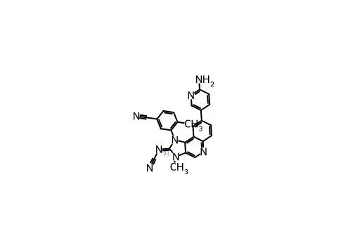 Cc1ccc(C#N)cc1-n1/c(=N/C#N)n(C)c2cnc3ccc(-c4ccc(N)nc4)cc3c21